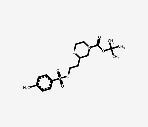 Cc1ccc(S(=O)(=O)OCCC2CN(C(=O)OC(C)(C)C)CCO2)cc1